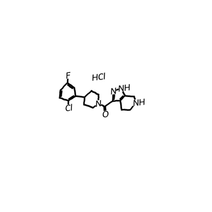 Cl.O=C(c1n[nH]c2c1CCNC2)N1CCC(c2cc(F)ccc2Cl)CC1